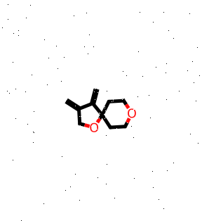 C=C1COC2(CCOCC2)C1=C